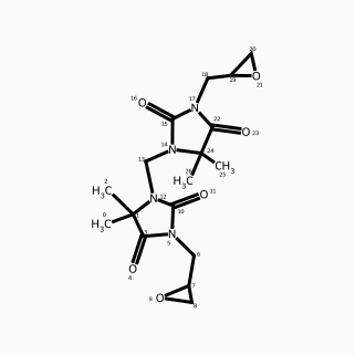 CC1(C)C(=O)N(CC2CO2)C(=O)N1CN1C(=O)N(CC2CO2)C(=O)C1(C)C